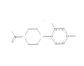 COc1cc(F)ccc1N1CCN(C(=O)C(C)(C)C)CC1